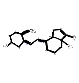 C=C1CCC(O)C/C1=C/C=C1\CCCC2(C)C(C(C)C)=CCC12